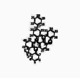 CC1(C)c2ccccc2Oc2c(N(c3ccc(-c4ccccc4)cc3)c3cccc4c3Oc3ccccc3O4)cccc21